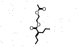 CC/C=C(\CCC)C(=O)OCCOC(C)=O